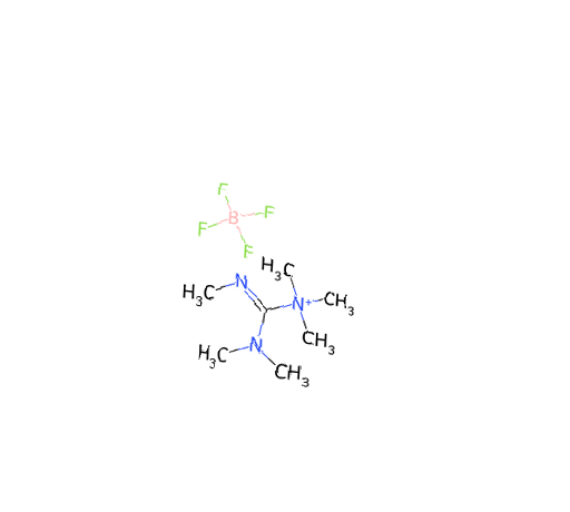 C/N=C(\N(C)C)[N+](C)(C)C.F[B-](F)(F)F